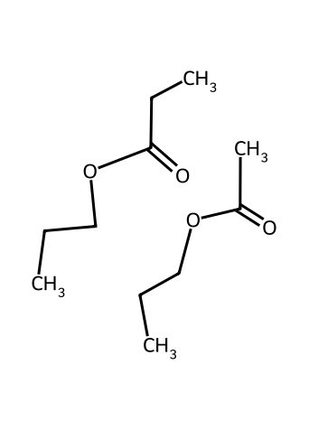 CCCOC(=O)CC.CCCOC(C)=O